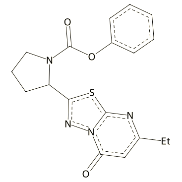 CCc1cc(=O)n2nc(C3CCCN3C(=O)Oc3ccccc3)sc2n1